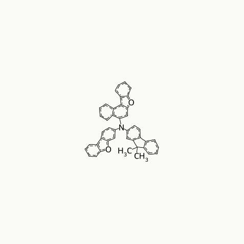 CC1(C)c2ccccc2-c2ccc(N(c3ccc4c(c3)oc3ccccc34)c3cc4oc5ccccc5c4c4ccccc34)cc21